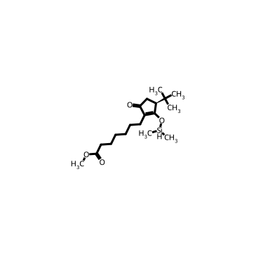 COC(=O)CCCCCCC1=C(O[SiH](C)C)[C@H](C(C)(C)C)CC1=O